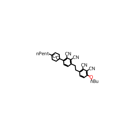 CCCCCC12CCC(c3ccc(CCc4ccc(OCCCC)c(C#N)c4C#N)c(C#N)c3C#N)(CC1)CC2